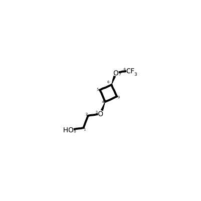 OCCO[C@H]1C[C@@H](OC(F)(F)F)C1